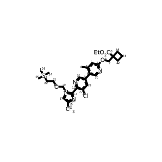 CCOC(=O)C1(COc2cc(C)c(-c3cnc(-c4nc(C(F)(F)F)cn4COCCS(C)(C)I)c(Cl)c3)cn2)CCC1